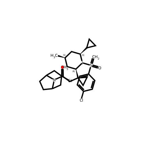 C=S(=O)(c1ccc(Cl)cc1)I1[C@H](C2CC2)C[C@H](C)C[C@@H]1C1(CC(=O)N2C3CCC2CC(C)(CC)C3)CC1